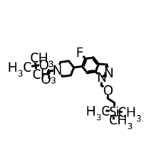 CC(C)(C)OC(=O)N1CCC(c2cc3c(cnn3COCC[Si](C)(C)C)cc2F)CC1